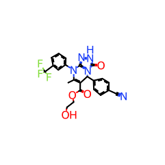 CC1=C(C(=O)OCCO)C(c2ccc(C#N)cc2)n2c(n[nH]c2=O)N1c1cccc(C(F)(F)F)c1